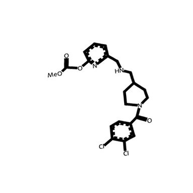 COC(=O)Oc1cccc(CNCC2CCN(C(=O)c3ccc(Cl)c(Cl)c3)CC2)n1